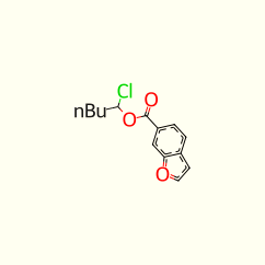 CCCCC(Cl)OC(=O)c1ccc2ccoc2c1